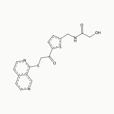 O=C(CO)NCc1ccc(C(=O)CSc2nccc3ccncc23)s1